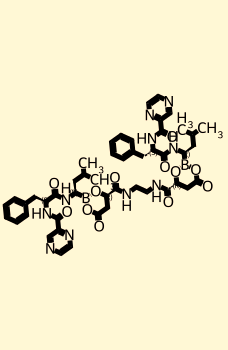 CC(C)C[C@H](NC(=O)[C@H](Cc1ccccc1)NC(=O)c1cnccn1)B1OC(=O)C[C@H](C(=O)NCCNC(=O)[C@H]2CC(=O)OB([C@H](CC(C)C)NC(=O)[C@H](Cc3ccccc3)NC(=O)c3cnccn3)O2)O1